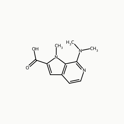 CN(C)c1nccc2cc(C(=O)O)n(C)c12